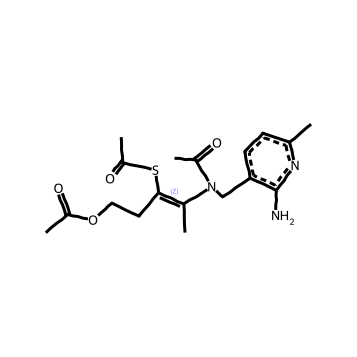 CC(=O)OCC/C(SC(C)=O)=C(\C)N(Cc1ccc(C)nc1N)C(C)=O